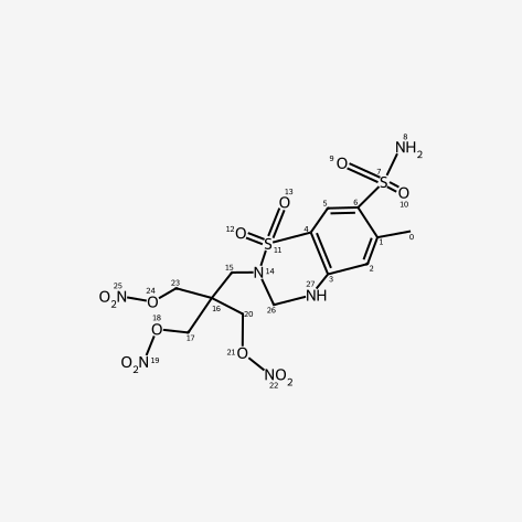 Cc1cc2c(cc1S(N)(=O)=O)S(=O)(=O)N(CC(CO[N+](=O)[O-])(CO[N+](=O)[O-])CO[N+](=O)[O-])CN2